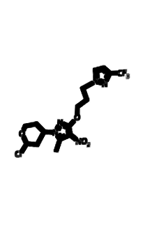 Cc1c([N+](=O)[O-])c(OCCCn2ccc(C(F)(F)F)n2)nn1C1CCOC(Cl)C1